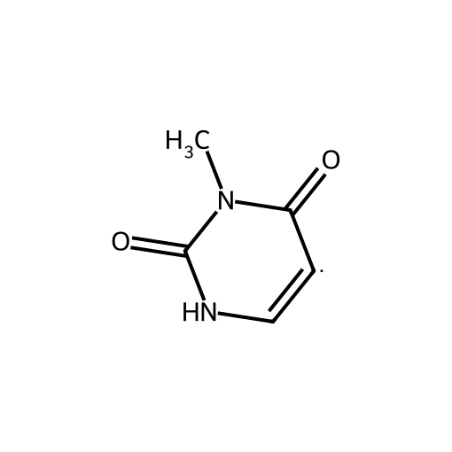 Cn1c(=O)[c]c[nH]c1=O